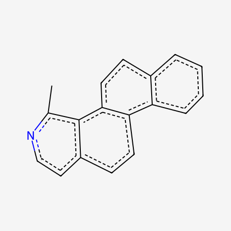 Cc1nccc2ccc3c4ccccc4ccc3c12